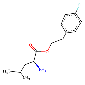 CC(C)C[C@H](N)C(=O)OCCc1ccc(F)cc1